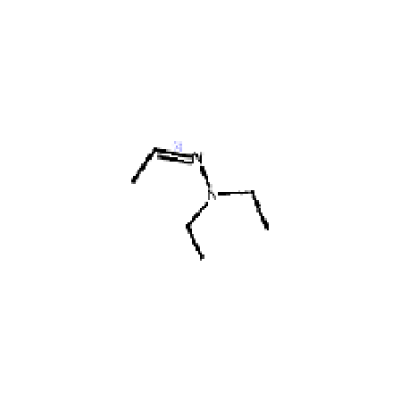 C/C=N\N(CC)CC